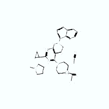 CN1CCC[C@H]1C1(c2nc3c(c(N4CCN(C(=O)O)[C@@H](CC#N)C4)n2)CCN(c2cccc4ccccc24)C3)CC1